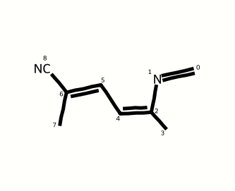 C=N/C(C)=C\C=C(/C)C#N